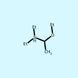 CCOC(C)[SiH](CC)CC